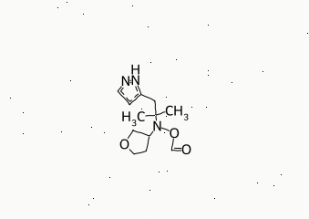 CC(C)(Cc1ccn[nH]1)N(OC=O)C1CCOC1